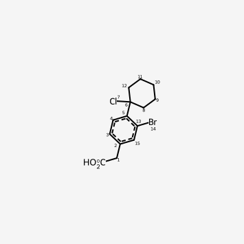 O=C(O)Cc1ccc(C2(Cl)CCCCC2)c(Br)c1